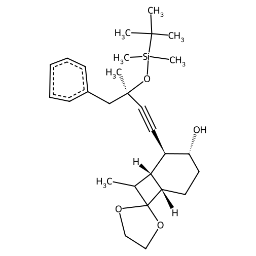 CC1[C@@H]2[C@@H](C#C[C@@](C)(Cc3ccccc3)O[Si](C)(C)C(C)(C)C)[C@H](O)CC[C@@H]2C12OCCO2